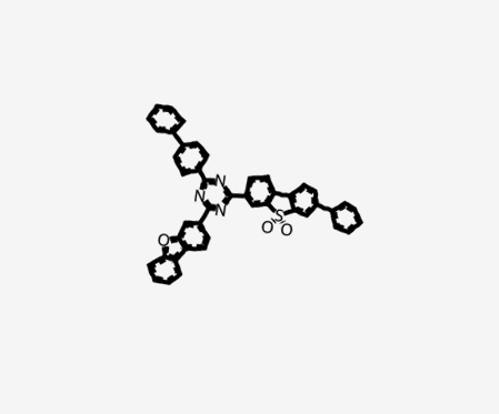 O=S1(=O)c2cc(-c3ccccc3)ccc2-c2ccc(-c3nc(-c4ccc(-c5ccccc5)cc4)nc(-c4ccc5c(c4)oc4ccccc45)n3)cc21